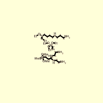 CCO[SiH](CCCCNCCCN)OCC.CCO[Si](CC(C)C)(OCC)OCC.CO[Si](CCC(NCCN)NCCN)(OC)OC